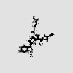 C#CC1CN(C(=O)c2cn(COCC[Si](C)(C)C)c3ncc(-c4nn(C)c5cc(F)ccc45)nc23)C1